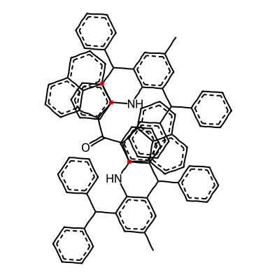 Cc1cc(C(c2ccccc2)c2ccccc2)c(NC2c3cccc4cccc(c34)C2C(=O)C2c3cccc4cccc(c34)C2Nc2c(C(c3ccccc3)c3ccccc3)cc(C)cc2C(c2ccccc2)c2ccccc2)c(C(c2ccccc2)c2ccccc2)c1